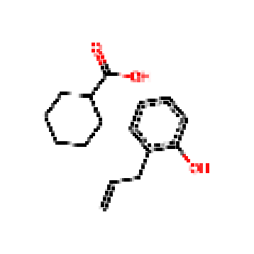 C=CCc1ccccc1O.O=C(O)C1CCCCC1